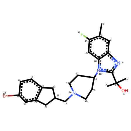 Cc1cc2nc(C(C)(C)O)n(C3CCN(CC4Cc5ccc(Br)cc5C4)CC3)c2cc1F